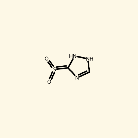 O=S(=O)=c1nc[nH][nH]1